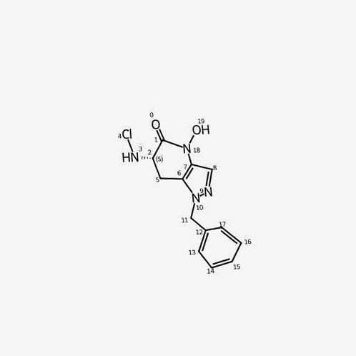 O=C1[C@@H](NCl)Cc2c(cnn2Cc2ccccc2)N1O